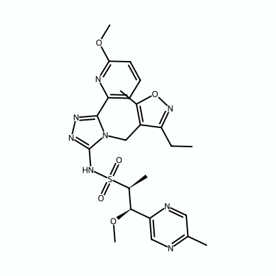 CCc1noc(C)c1Cn1c(NS(=O)(=O)[C@@H](C)[C@H](OC)c2cnc(C)cn2)nnc1-c1cccc(OC)n1